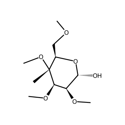 COC[C@H]1O[C@H](O)[C@@H](OC)[C@@H](OC)[C@]1(C)OC